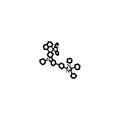 c1ccc(-c2nc(-c3ccc(-c4ccc5c(c4)c4cc6c(cc4n5-c4ccccc4)-c4cccc5cccc(c45)C64c5ccccc5-c5ccccc54)cc3)n(-c3ccccc3)c2-c2ccccc2)cc1